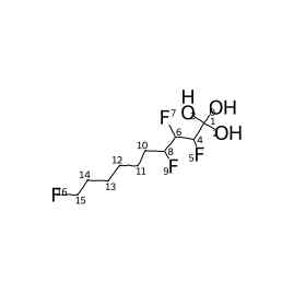 OC(O)(O)C(F)C(F)C(F)CCCCCCF